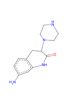 Nc1ccc2c(c1)NC(=O)C(N1CCNCC1)C2